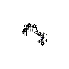 NC/C(=C\NC1CCN(C(=O)CCCC2CCCC(Nc3cccc4c3CN(C3CCC(=O)NC3=O)C4=O)C2)CC1)C1CNc2ccccc2N1